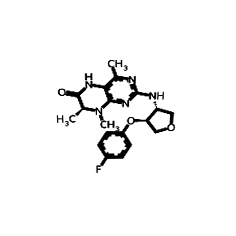 Cc1nc(N[C@@H]2COC[C@H]2Oc2ccc(F)cc2)nc2c1NC(=O)[C@H](C)N2C